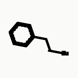 CCC(C)[CH]Cc1ccccc1